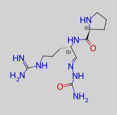 N=C(N)NCCC[C@@H](C=NNC(N)=O)NC(=O)[C@@H]1CCCN1